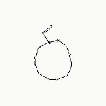 O=C/C1=N/CCCCCCCCCC1